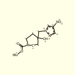 CC(C)(C)OC(=O)N1CCC(O)(Cn2cc([N+](=O)[O-])cn2)CC1